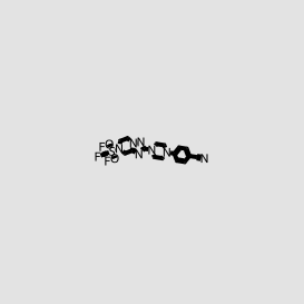 N#Cc1ccc(N2CCN(c3nc4n(n3)CCN(S(=O)(=O)C(F)(F)F)C4)CC2)cc1